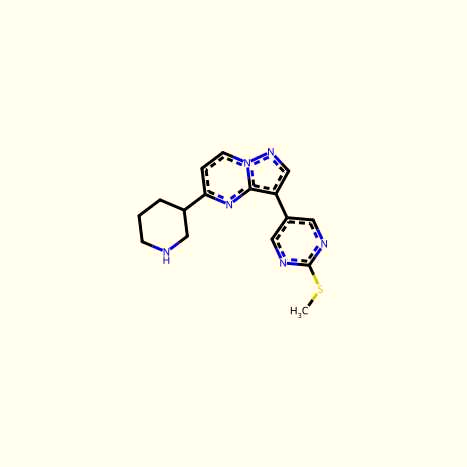 CSc1ncc(-c2cnn3ccc(C4CCCNC4)nc23)cn1